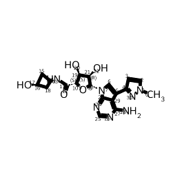 Cn1ccc(-c2cn([C@@H]3O[C@H](C(=O)N[C@H]4C[C@H](O)C4)[C@@H](O)[C@H]3O)c3ncnc(N)c23)n1